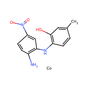 Cc1ccc(Nc2cc([N+](=O)[O-])ccc2N)c(O)c1.[Co]